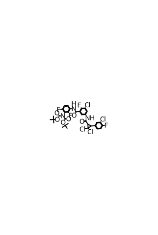 CC(C)(C)OC(=O)N(C(=O)OC(C)(C)C)c1c(F)ccc(NC(=O)c2cc(NC(=O)C3C(c4ccc(F)c(Cl)c4)C3(Cl)Cl)cc(Cl)c2F)c1F